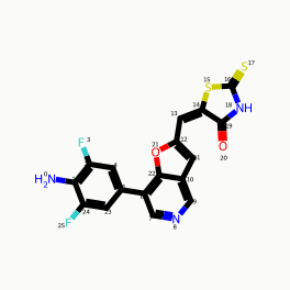 Nc1c(F)cc(-c2cncc3cc(C=C4SC(=S)NC4=O)oc23)cc1F